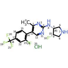 Cc1nc(N[C@@H]2CNC[C@@H]2F)ncc1-c1ccc(C(F)(F)F)cc1F.Cl